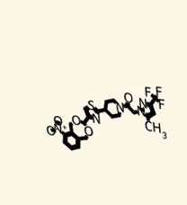 Cc1cc(C(F)(F)F)nn1CC(=O)N1CCC(c2nc(C3OCc4cccc([N+](=O)[O-])c4CO3)cs2)CC1